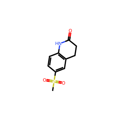 CS(=O)(=O)c1ccc2c(c1)CCC(=O)N2